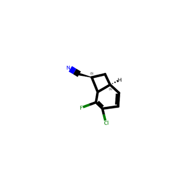 N#C[C@H]1C[C@H]2C=CC(Cl)=C(F)C21